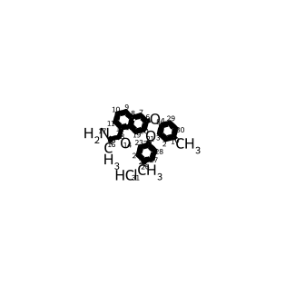 Cc1ccc(Oc2cc3cccc(C(=O)C(C)N)c3cc2Oc2ccc(C)cc2)cc1.Cl